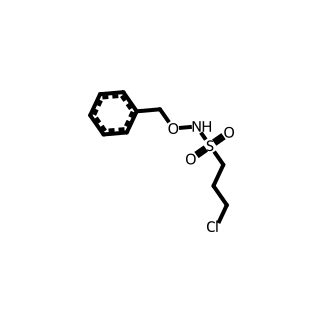 O=S(=O)(CCCCl)NOCc1ccccc1